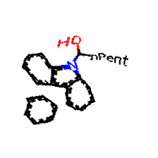 CCCCCC(O)n1c2ccccc2c2ccccc21.c1ccccc1